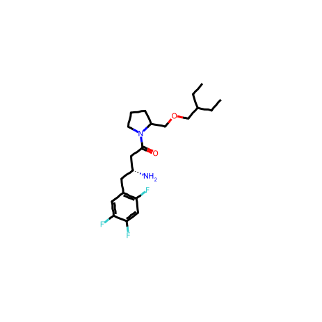 CCC(CC)COCC1CCCN1C(=O)C[C@H](N)Cc1cc(F)c(F)cc1F